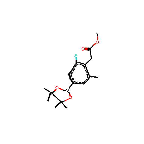 COC(=O)Cc1c(C)cc(B2OC(C)(C)C(C)(C)O2)cc1F